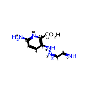 N=C/C=N\Nc1ccc(N)nc1C(=O)O